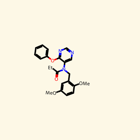 CCC(=O)N(Cc1cc(OC)ccc1OC)c1cncnc1Oc1ccccc1